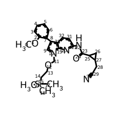 COc1ccccc1-c1cn(COCC[Si](C)(C)C)c2nc(NC(=O)C3CC3CC#N)ccc12